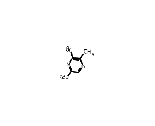 Cc1ncc(C(C)(C)C)nc1Br